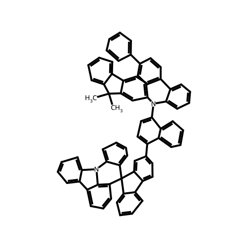 CC1(C)c2ccccc2-c2ccc(N(c3ccccc3-c3ccc(-c4ccccc4)cc3)c3ccc(-c4ccc5c(c4)C4(c6ccccc6-5)c5ccccc5-n5c6ccccc6c6cccc4c65)c4ccccc34)cc21